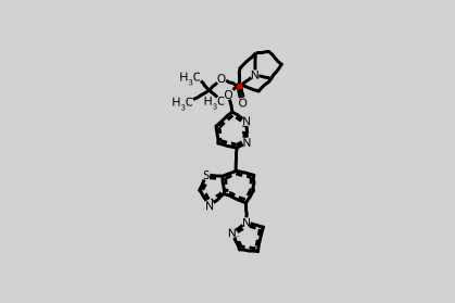 CC(C)(C)OC(=O)N1C2CCC1CC(Oc1ccc(-c3ccc(-n4cccn4)c4ncsc34)nn1)C2